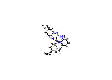 C#CC1=CC(Nc2nc3cc([N+](=O)[O-])ccc3nc2NC2=CC=C(OC)CC2)=C=C=C1